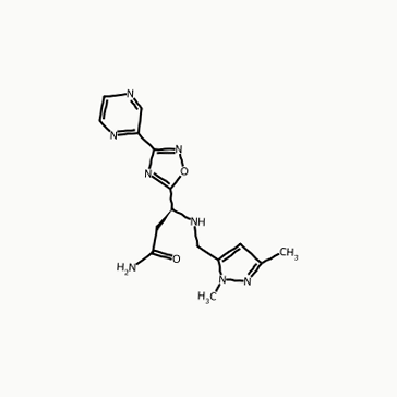 Cc1cc(CN[C@@H](CC(N)=O)c2nc(-c3cnccn3)no2)n(C)n1